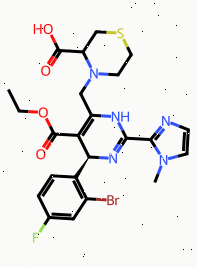 CCOC(=O)C1=C(CN2CCSCC2C(=O)O)NC(c2nccn2C)=N[C@H]1c1ccc(F)cc1Br